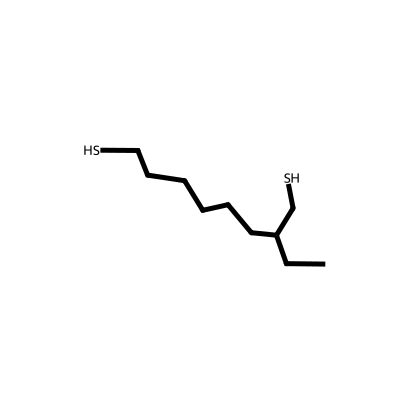 CCC(CS)CCCCCCS